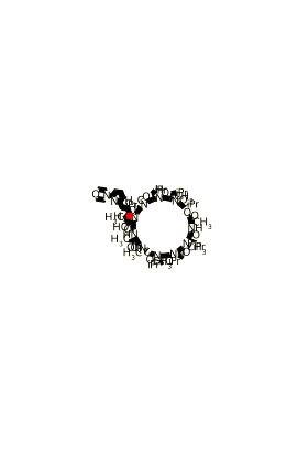 CC(C)C[C@@H]1C(=O)N[C@H](CC(C)C)C(=O)N(C)[C@H](C(C)C)C(=O)N(C)[C@H]([C@H](O)[C@H](C)C/C=C/c2cccc(N3CCOCC3)n2)C(=O)N[C@H]([C@@H](C)O)C(=O)N(C)CC(=O)N(C)[C@@H](CC(C)C)C(=O)N[C@H](CC(C)C)C(=O)N(C)[C@H](CC(C)C)C(=O)N[C@H](C)C(=O)O[C@@H](C(C)C)C(=O)N1C